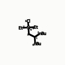 CCCCC(CCCC)C[Si](Cl)(CC)CC